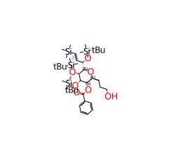 CC(C)(C)[Si](C)(C)OC(/C=C/[Si](C)(C)C)[C@@H]1O[C@@H](CCCO)[C@H](OC(=O)c2ccccc2)C(O[Si](C)(C)C(C)(C)C)C1O[Si](C)(C)C(C)(C)C